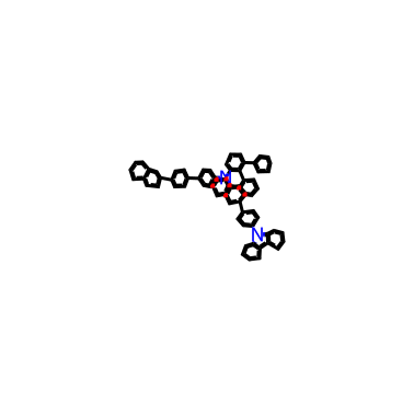 c1ccc(-c2ccccc2-c2c(-c3ccccc3)cccc2N(c2ccc(-c3ccc(-c4ccc5ccccc5c4)cc3)cc2)c2ccc(-c3ccc(-n4c5ccccc5c5ccccc54)cc3)cc2)cc1